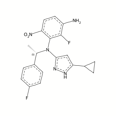 C[C@@H](c1ccc(F)cc1)N(c1cc(C2CC2)[nH]n1)c1c([N+](=O)[O-])ccc(N)c1F